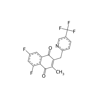 CC1=C(Cc2ccc(C(F)(F)F)cn2)C(=O)c2cc(F)cc(F)c2C1=O